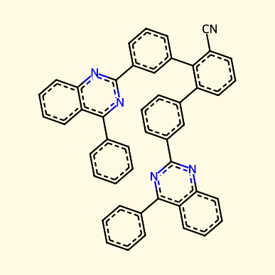 N#Cc1cccc(-c2cccc(-c3nc(-c4ccccc4)c4ccccc4n3)c2)c1-c1cccc(-c2nc(-c3ccccc3)c3ccccc3n2)c1